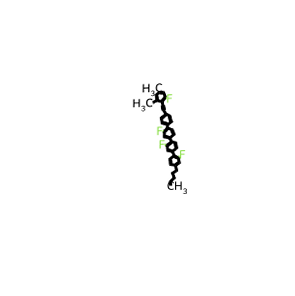 CCCCCc1ccc(-c2ccc(-c3ccc(-c4ccc(C#Cc5c(F)cc(C)cc5CC)cc4)c(F)c3)c(F)c2)c(F)c1